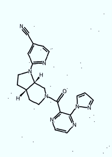 N#Cc1ccnc(N2CC[C@H]3CCN(C(=O)c4nccnc4-n4cccn4)C[C@H]32)c1